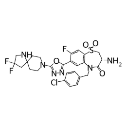 N[C@H]1CS(=O)(=O)c2cc(F)c(-c3nnc(N4CCC5(CC4)CC(F)(F)CN5)o3)cc2N(Cc2ccc(Cl)cc2)C1=O